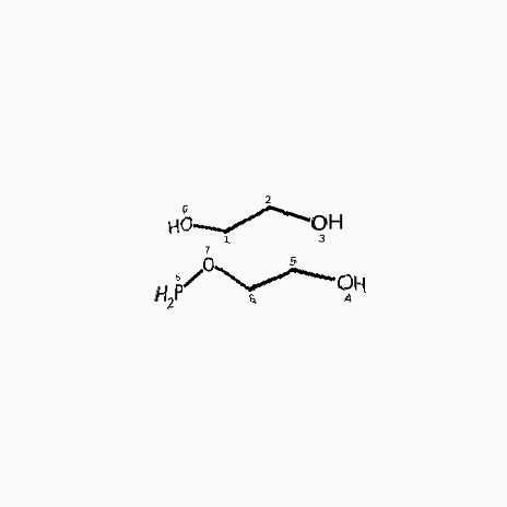 OCCO.OCCOP